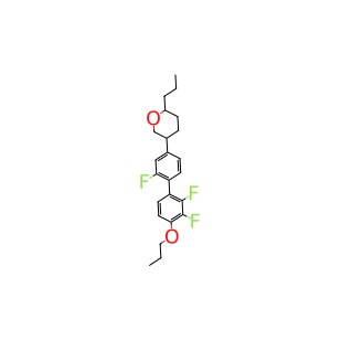 CCCOc1ccc(-c2ccc(C3CCC(CCC)OC3)cc2F)c(F)c1F